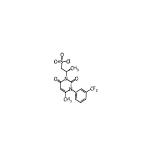 Cc1cc(=O)n([C@H](C)CS(=O)(=O)Cl)c(=O)n1-c1cccc(C(F)(F)F)c1